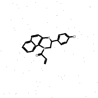 C=CC(=O)N1CC(c2ccc(Cl)cc2)Sc2ccc3ccccc3c21